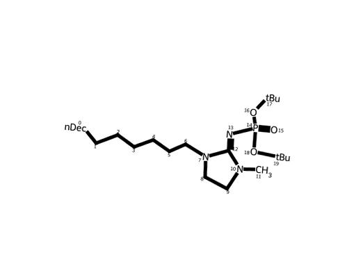 CCCCCCCCCCCCCCCCN1CCN(C)/C1=N\P(=O)(OC(C)(C)C)OC(C)(C)C